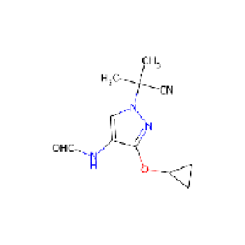 CC(C)(C#N)n1cc(NC=O)c(OC2CC2)n1